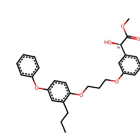 CCCc1cc(Oc2ccccc2)ccc1OCCCOc1cccc([C@@H](O)C(=O)OC)c1